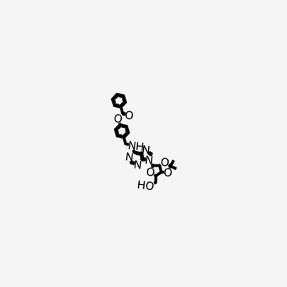 CC1(C)OC2C(CO)OC(n3cnc4c(NCc5ccc(OC(=O)c6ccccc6)cc5)ncnc43)C2O1